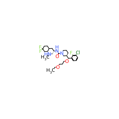 CCOCCCO[C@@H](c1cccc(Cl)c1F)[C@@H]1CCCN(C(=O)N[C@H](CNC)CC2CCC(F)(F)CC2)C1